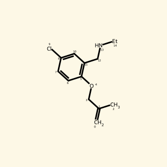 C=C(C)COc1ccc(Cl)cc1CNCC